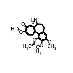 CCOc1c(OC)c(OC)cc2c1-c1ccc(OC)c(=O)cc1C(N)CC2